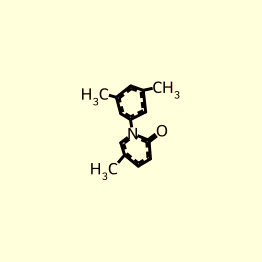 Cc1cc(C)cc(-n2cc(C)ccc2=O)c1